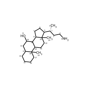 C[C@H](CCN)C1CCC2C3C(O)CC4CCCCC4(C)C3CCC21C